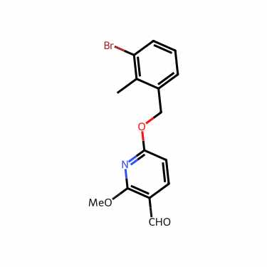 COc1nc(OCc2cccc(Br)c2C)ccc1C=O